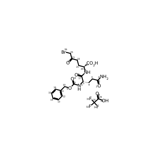 NC(=O)CC[C@H](NC(=O)OCc1ccccc1)C(=O)N[C@@H](CCC(=O)CBr)C(=O)O.O=C(O)C(F)(F)F